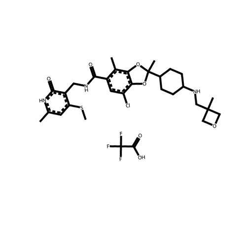 CSc1cc(C)[nH]c(=O)c1CNC(=O)c1cc(Cl)c2c(c1C)OC(C)(C1CCC(NCC3(C)COC3)CC1)O2.O=C(O)C(F)(F)F